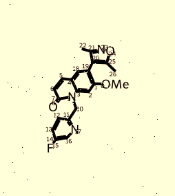 COc1cc2c(ccc(=O)n2Cc2ccc(F)cn2)cc1-c1c(C)noc1C